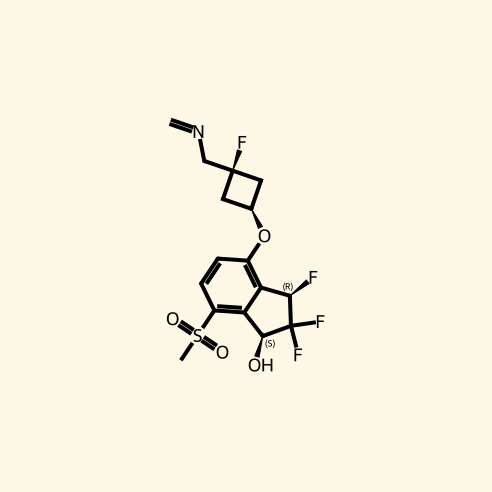 C=NC[C@]1(F)C[C@@H](Oc2ccc(S(C)(=O)=O)c3c2[C@@H](F)C(F)(F)[C@H]3O)C1